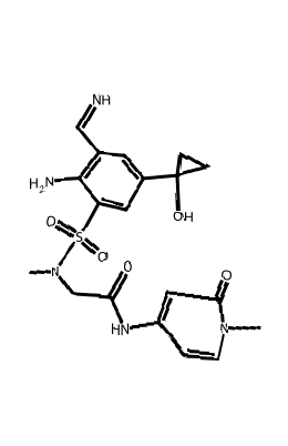 CN(CC(=O)Nc1ccn(C)c(=O)c1)S(=O)(=O)c1cc(C2(O)CC2)cc(C=N)c1N